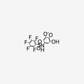 O=S(=O)(Nc1cc(O)c2c(c1)OCO2)c1c(F)c(F)c(F)c(F)c1F